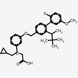 COc1ccc(F)c(-c2ccc(COc3cccc([C@@H](CC(=O)O)CC4CC4)c3)cc2C(C)C(C)(C)C)c1